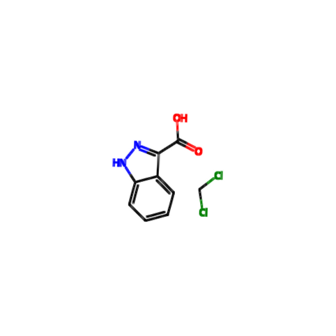 ClCCl.O=C(O)c1n[nH]c2ccccc12